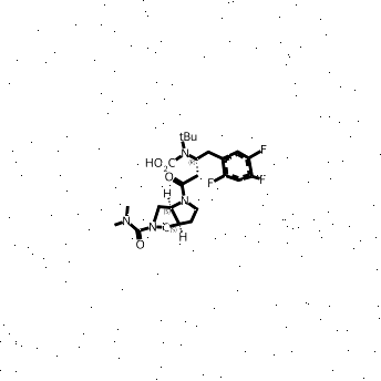 CN(C)C(=O)N1C[C@@H]2CCN(C(=O)C[C@@H](Cc3cc(F)c(F)cc3F)N(C(=O)O)C(C)(C)C)[C@@H]2C1